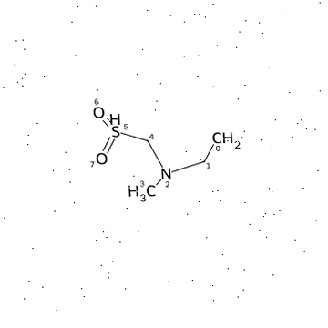 [CH2]CN(C)C[SH](=O)=O